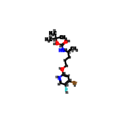 C[C@@H](CCCOc1cc(Br)c(F)cn1)NC(=O)OC(C)(C)C